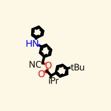 CC(C)C(C(=O)OC(C#N)c1cccc(Nc2ccccc2)c1)c1ccc(C(C)(C)C)cc1